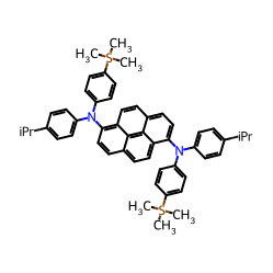 CC(C)c1ccc(N(c2ccc(S(C)(C)C)cc2)c2ccc3ccc4c(N(c5ccc(C(C)C)cc5)c5ccc(S(C)(C)C)cc5)ccc5ccc2c3c54)cc1